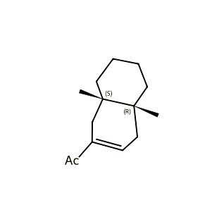 CC(=O)C1=CC[C@@]2(C)CCCC[C@@]2(C)C1